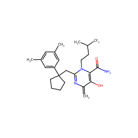 C=C1N=C(CC2(c3cc(C)cc(C)c3)CCCC2)N(CCC(C)C(F)(F)F)C(C(N)=O)=C1O